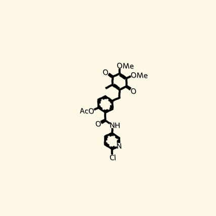 COC1=C(OC)C(=O)C(Cc2ccc(OC(C)=O)c(C(=O)Nc3ccc(Cl)nc3)c2)=C(C)C1=O